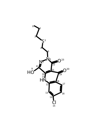 CCCSCCn1nc(O)c2[nH]c3cc(Cl)ccc3c(=O)c2c1=O